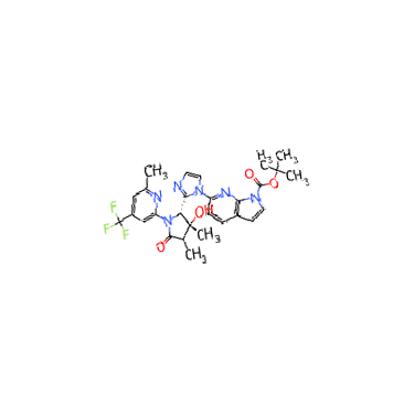 Cc1cc(C(F)(F)F)cc(N2C(=O)C(C)[C@@](C)(O)[C@H]2c2nccn2-c2ccc3ccn(C(=O)OC(C)(C)C)c3n2)n1